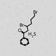 O=C(CC(Br)CCCBr)c1ccccc1.S